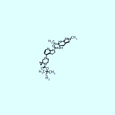 COc1nc2nn(C)cc2cc1NC(=O)N1CCc2c(N3CCN(C(=O)OC(C)(C)C)C4(CC4)C3)ccnc21